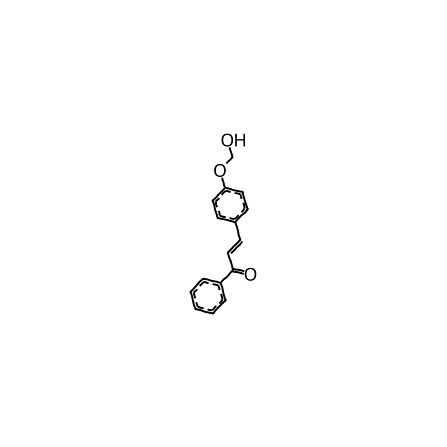 O=C(C=Cc1ccc(OCO)cc1)c1ccccc1